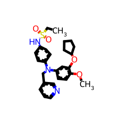 CCS(=O)(=O)Nc1ccc(N(Cc2cccnc2)c2ccc(OC)c(OC3CCCC3)c2)cc1